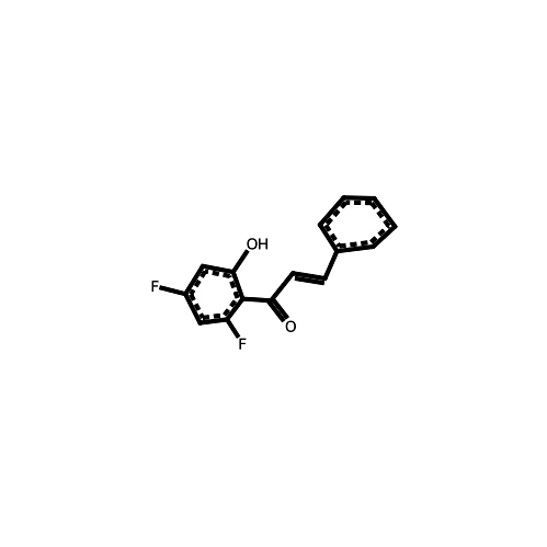 O=C(/C=C/c1ccccc1)c1c(O)cc(F)cc1F